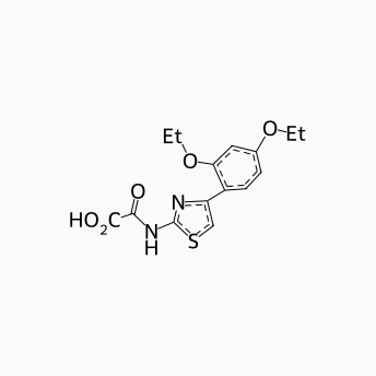 CCOc1ccc(-c2csc(NC(=O)C(=O)O)n2)c(OCC)c1